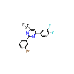 Fc1ccc(-c2cc(C(F)(F)F)nc(-c3cccc(Br)c3)n2)cc1F